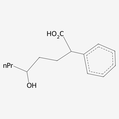 CCCC(O)CCC(C(=O)O)c1ccccc1